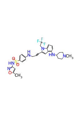 Cc1cc(NS(=O)(=O)c2ccc(NCC#Cc3cc4c(NC5CCN(C)CC5)cccc4n3CC(F)(F)F)cc2)no1